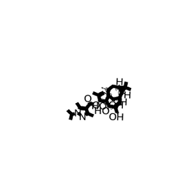 CC1=C[C@]23C(O)[C@@H](C=C(CO)[C@@H](O)[C@]2(O)[C@H]1OC(=O)c1c(C)nn(C(C)C)c1C)[C@H]1[C@@H](C[C@H]3C)C1(C)C